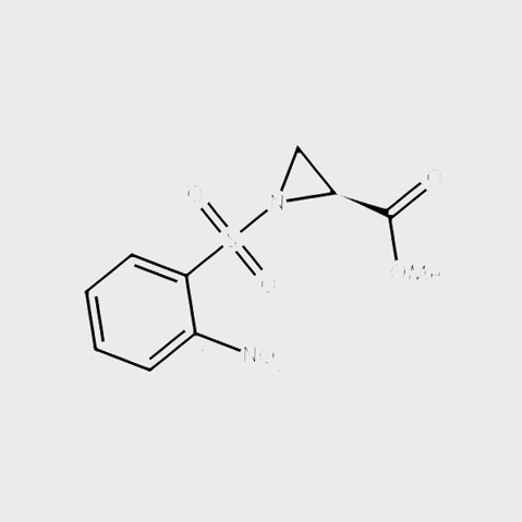 COC(=O)[C@@H]1CN1S(=O)(=O)c1ccccc1[N+](=O)[O-]